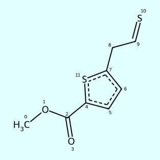 COC(=O)c1ccc(CC=S)s1